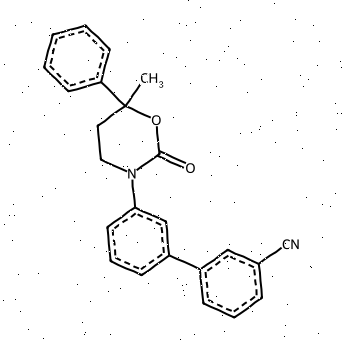 CC1(c2ccccc2)CCN(c2cccc(-c3cccc(C#N)c3)c2)C(=O)O1